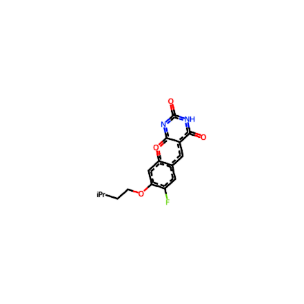 CC(C)CCOc1cc2oc3nc(=O)[nH]c(=O)c-3cc2cc1F